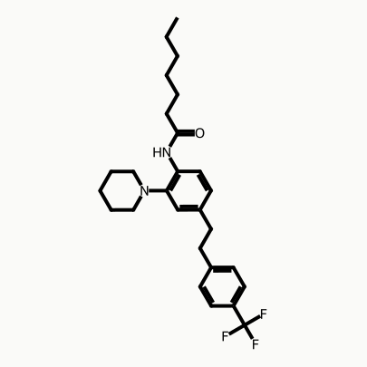 CCCCCCC(=O)Nc1ccc(CCc2ccc(C(F)(F)F)cc2)cc1N1CCCCC1